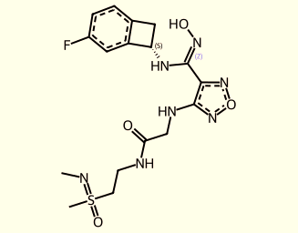 CN=S(C)(=O)CCNC(=O)CNc1nonc1/C(=N/O)N[C@H]1Cc2ccc(F)cc21